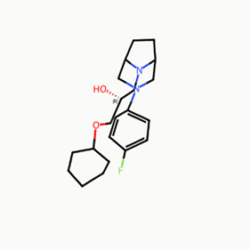 O[C@@H](COC1CCCCC1)CN1C2CCC1CN(c1ccc(F)cc1)C2